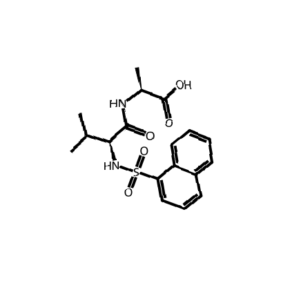 CC(C)[C@H](NS(=O)(=O)c1cccc2ccccc12)C(=O)N[C@@H](C)C(=O)O